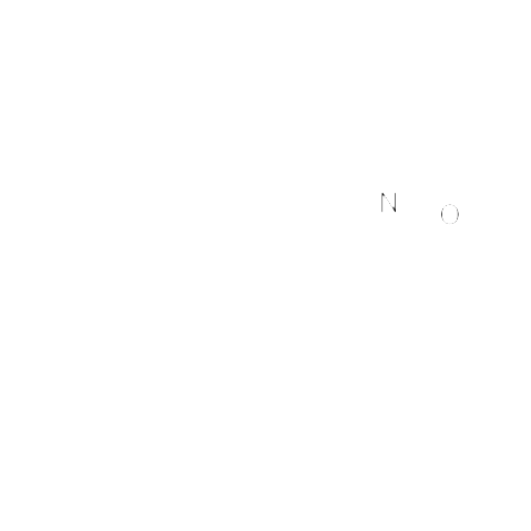 CC(C)C(C)CCN=O